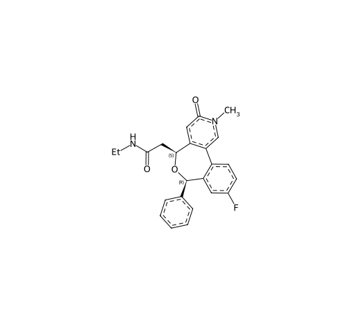 CCNC(=O)C[C@@H]1O[C@H](c2ccccc2)c2cc(F)ccc2-c2cn(C)c(=O)cc21